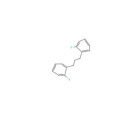 Fc1ccccc1CCCc1ccccc1F